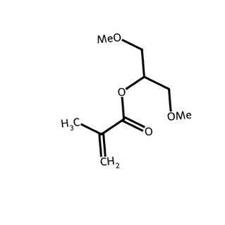 C=C(C)C(=O)OC(COC)COC